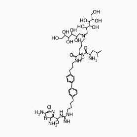 CC(C)CC(N)C(=O)NC(CCCCN(CC(O)C(O)C(O)C(O)CO)CC(O)C(O)C(O)C(O)CO)C(=O)NCCCc1ccc(-c2ccc(CCCCNC(=N)NC(=O)c3nc(Cl)c(N)nc3N)cc2)cc1